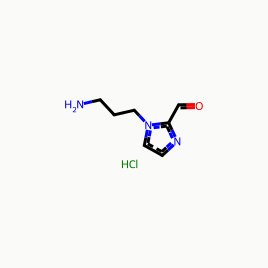 Cl.NCCCn1ccnc1C=O